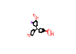 Oc1ccc(C(c2ccc(O)cc2)c2ccc(O)c(I)c2)cc1